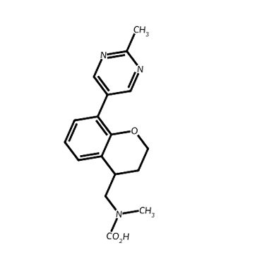 Cc1ncc(-c2cccc3c2OCCC3CN(C)C(=O)O)cn1